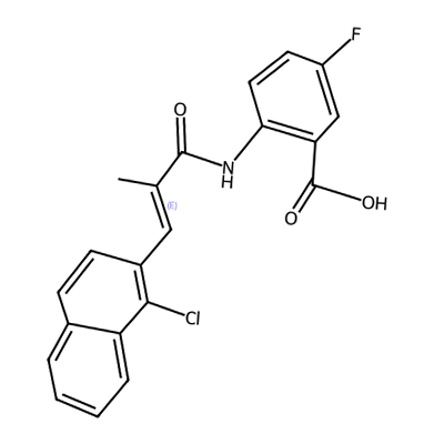 C/C(=C\c1ccc2ccccc2c1Cl)C(=O)Nc1ccc(F)cc1C(=O)O